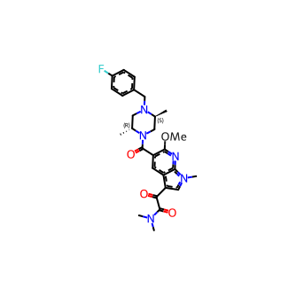 COc1nc2c(cc1C(=O)N1C[C@H](C)N(Cc3ccc(F)cc3)C[C@H]1C)c(C(=O)C(=O)N(C)C)cn2C